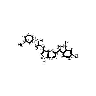 Cn1nc(-c2cnc3[nH]cc(OC(=O)N[C@@H]4CCC[C@H](O)C4)c3n2)c2ccc(Cl)cc21